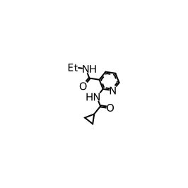 CCNC(=O)c1cccnc1NC(=O)C1CC1